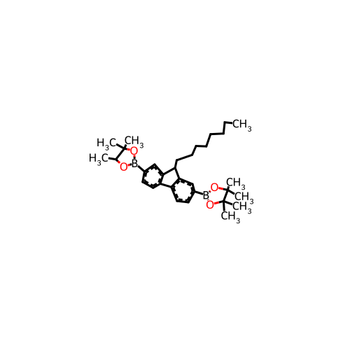 CCCCCCCCC1c2cc(B3OC(C)C(C)(C)O3)ccc2-c2ccc(B3OC(C)(C)C(C)(C)O3)cc21